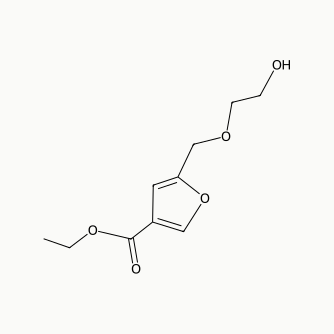 CCOC(=O)c1coc(COCCO)c1